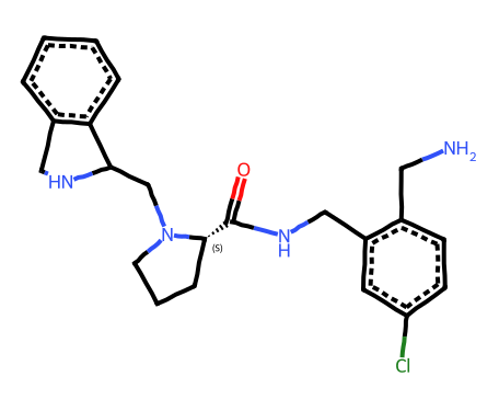 NCc1ccc(Cl)cc1CNC(=O)[C@@H]1CCCN1CC1NCc2ccccc21